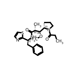 CCC(=O)N1CCC[C@H]1[C@H](OC)[C@@H](C)C(=O)N[C@@H](Cc1ccccc1)c1nccs1